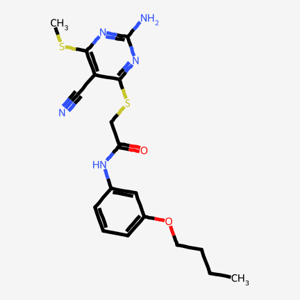 CCCCOc1cccc(NC(=O)CSc2nc(N)nc(SC)c2C#N)c1